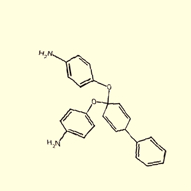 Nc1ccc(OC2(Oc3ccc(N)cc3)C=CC(c3ccccc3)C=C2)cc1